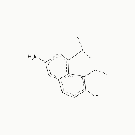 CCc1c(F)ccc2cc(N)cc(C(C)C)c12